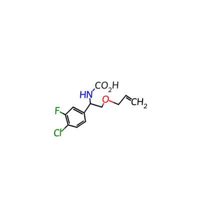 C=CCOCC(NC(=O)O)c1ccc(Cl)c(F)c1